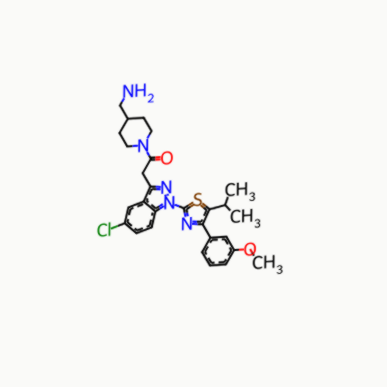 COc1cccc(-c2nc(-n3nc(CC(=O)N4CCC(CN)CC4)c4cc(Cl)ccc43)sc2C(C)C)c1